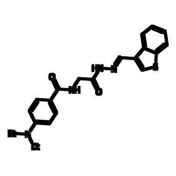 CCN(CC)c1ccc(C(=O)NCC(=O)N/N=C/c2csc3ccccc23)cc1